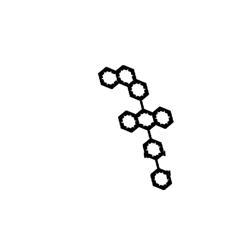 c1ccc(-c2ncc(-c3c4ccccc4c(-c4ccc5ccc6ccccc6c5c4)c4ccccc34)cn2)nc1